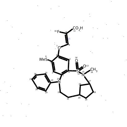 CSc1cc2c(cc1O/C=C(\F)C(=O)O)S(=O)(=O)N(C)C1CCC(CCN2c2ccccc2)C1